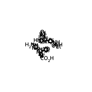 CCNC(=O)Nc1ccc(-c2nc3c(c(N4CCOC[C@@H]4C)n2)CNCC3)cc1.Nc1ncc(-c2nc3c(c(C4C=COCC4)n2)CN(C(=O)O)C3)cn1